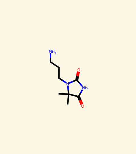 CC1(C)C(=O)NC(=O)N1CCCN